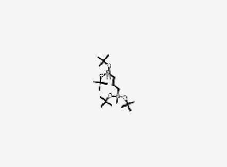 CC(C)(C)O[SiH](CCC[Si](C)(OC(C)(C)C)OC(C)(C)C)OC(C)(C)C